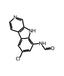 O=CNc1cc(Cl)cc2c1[nH]c1cnccc12